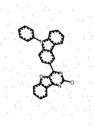 Clc1nc(-c2ccc3c(c2)c2ccccc2n3-c2ccccc2)c2oc3ccccc3c2n1